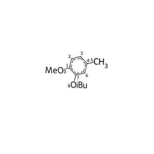 COc1ccc(C)cc1OCC(C)C